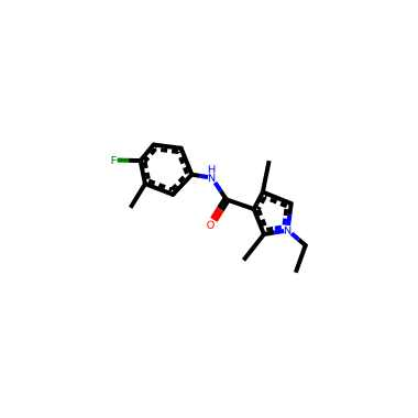 CCn1cc(C)c(C(=O)Nc2ccc(F)c(C)c2)c1C